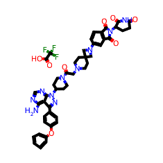 Nc1ncnc2c1c(-c1ccc(Oc3ccccc3)cc1)nn2C1CCN(C(=O)CN2CCC3(CC2)CN(c2ccc4c(c2)C(=O)N(C2CCC(=O)NC2=O)C4=O)C3)CC1.O=C(O)C(F)(F)F